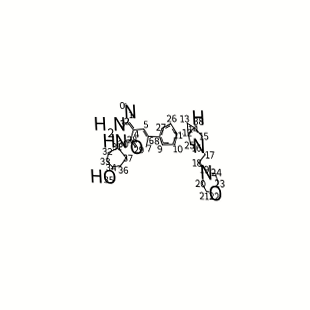 C=N/C(N)=C(\C=C(/C)c1ccc([C@]23C[C@H]2CN(CCN2CCOCC2)C3)cc1)C(=O)N[C@H]1CC[C@H](O)CC1